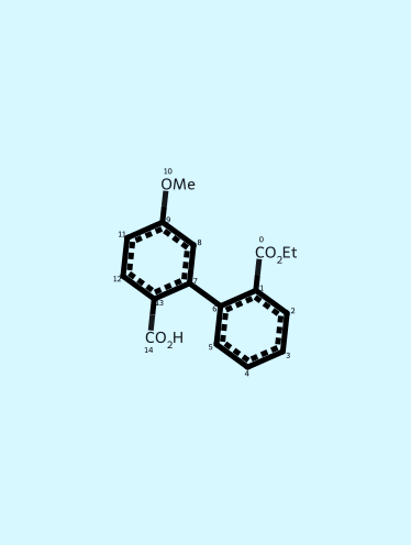 CCOC(=O)c1ccccc1-c1cc(OC)ccc1C(=O)O